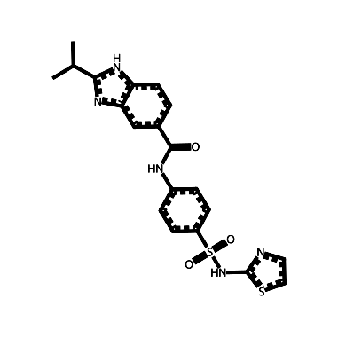 CC(C)c1nc2cc(C(=O)Nc3ccc(S(=O)(=O)Nc4nccs4)cc3)ccc2[nH]1